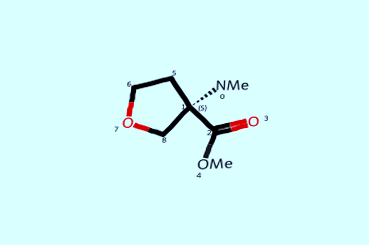 CN[C@@]1(C(=O)OC)CCOC1